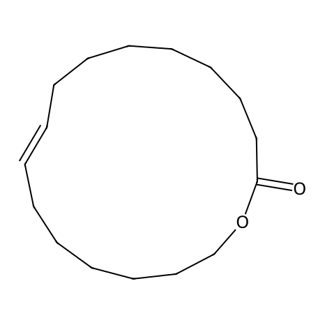 O=C1CCCCCCC/C=C/CCCCCCO1